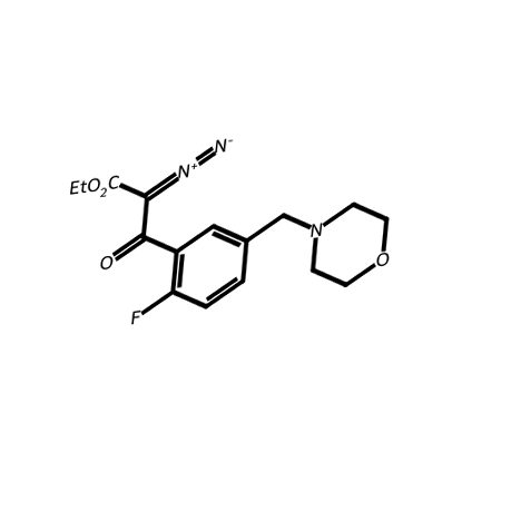 CCOC(=O)C(=[N+]=[N-])C(=O)c1cc(CN2CCOCC2)ccc1F